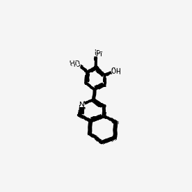 CC(C)c1c(O)cc(-c2cc3c(cn2)CCCC3)cc1O